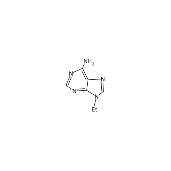 [CH2]Cn1cnc2c(N)ncnc21